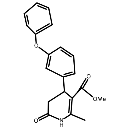 COC(=O)C1=C(C)NC(=O)CC1c1cccc(Oc2ccccc2)c1